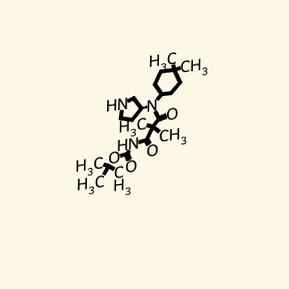 CC1(C)CCC(N(C(=O)C(C)(C)C(=O)NC(=O)OC(C)(C)C)[C@H]2CCNC2)CC1